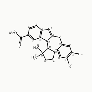 COC(=O)c1ccc2nc(Cc3ccc(Br)c(F)c3)n(C3COCC3(C)C)c2c1